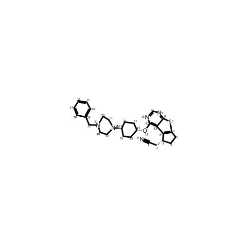 N#CC[C@H]1CCc2sc3ncnc(O[C@H]4CC[C@H](N5CCN(Cc6ccccc6)CC5)CC4)c3c21